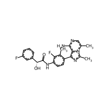 Cc1c(-c2nc(C)n3c(C)cnc(N)c23)ccc(NC(=O)[C@H](O)c2cccc(F)c2)c1F